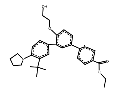 CCOC(=O)c1ccc(-c2ccc(OCCO)c(-c3ccc(N4CCCC4)c(C(C)(C)C)c3)c2)nc1